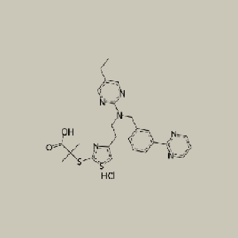 CCc1cnc(N(CCc2csc(SC(C)(C)C(=O)O)n2)Cc2cccc(-c3ncccn3)c2)nc1.Cl